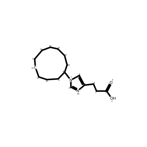 O=C(O)CCc1cn(C2CCCCCCCCCC2)cn1